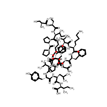 CC[C@H](C)[C@H](NC(=O)[C@H](CC(C)C)NC(=O)[C@H](Cc1ccc(O)cc1)NC(=O)[C@@H](NC(=O)[C@H](Cc1ccccc1)NC(=O)[C@@H]1CCCN1C(=O)[C@H](CCCCN)NC(=O)[C@H](CC(N)=O)NC(=O)[C@H](Cc1ccccc1)NC(=O)[C@H](CCCCN)NC(=O)[C@@H](NC(=O)[C@H](CCC(=O)O)NC(=O)[C@@H]1CCCN1C(=O)[C@@H]1CCCN1C(=O)[C@@H](NC(=O)[C@H](CO)NC(=O)[C@@H](N)CS)[C@@H](C)CC)C(C)C)C(C)C)C(=O)O